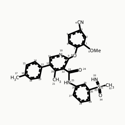 COc1cc(C#N)ccc1Oc1ncc(-c2ccc(C)cc2)c(C)c1C(=O)Nc1cccc([S@](C)(=N)=O)c1